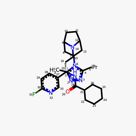 Cc1nnc(C(C)C)n1C1CC2CCC(C1)N2CC[C@H](NC(=O)C1CCCCC1)c1ccc(F)nc1